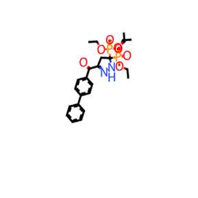 CCOP(=O)(OCC)C1(P(=O)(OCC)OCC)CC(C(=O)c2ccc(-c3ccccc3)cc2)=NN1